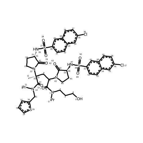 CC(C)N(CCCO)C(=O)C(C[C@@](C)(C(=O)N(Cc1cccs1)C(C)C)N1CC[C@H](NS(=O)(=O)c2ccc3cc(Cl)ccc3c2)C1=O)N1CC[C@H](NS(=O)(=O)c2ccc3cc(Cl)ccc3c2)C1=O